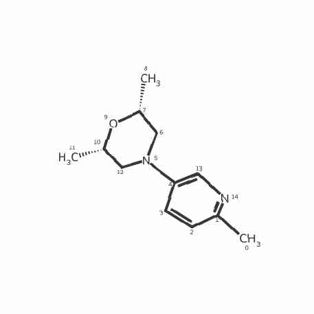 Cc1ccc(N2C[C@@H](C)O[C@@H](C)C2)cn1